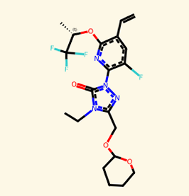 C=Cc1cc(F)c(-n2nc(COC3CCCCO3)n(CC)c2=O)nc1O[C@@H](C)C(F)(F)F